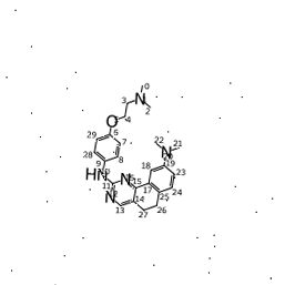 CN(C)CCOc1ccc(Nc2ncc3c(n2)-c2cc(N(C)C)ccc2CC3)cc1